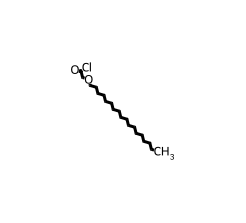 CCCCCCCCCCCCCCCCCCOCC(=O)Cl